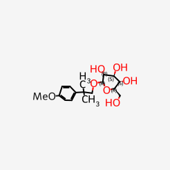 COc1ccc(C(C)(C)CO[C@@H]2O[C@H](CO)[C@@H](O)[C@H](O)[C@H]2O)cc1